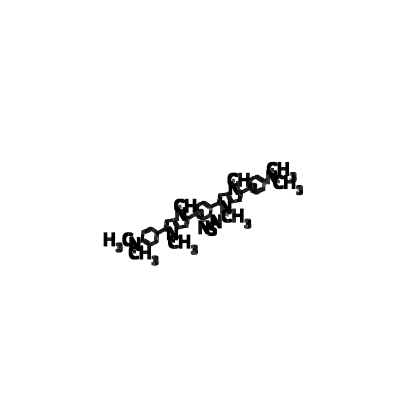 CN(C)c1ccc(-c2cc3c(cc(-c4ccc(-c5cc6c(cc(-c7ccc(N(C)C)cc7)n6C)n5C)c5nsnc45)n3C)n2C)cc1